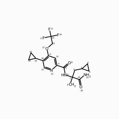 CC(CC1CC1)(NC(=O)c1cc(OCC(F)(F)F)c(C2CC2)cn1)C(N)=O